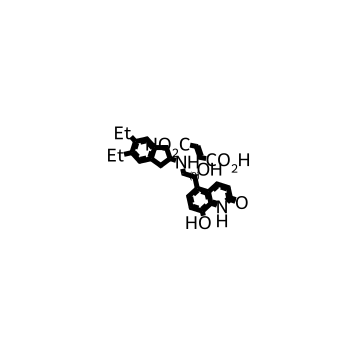 CCc1cc2c(cc1CC)CC(NC[C@H](O)c1ccc(O)c3[nH]c(=O)ccc13)C2.O=C(O)C=CC(=O)O